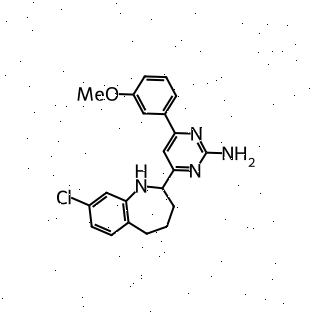 COc1cccc(-c2cc(C3CCCc4ccc(Cl)cc4N3)nc(N)n2)c1